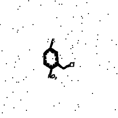 O=[N+]([O-])c1ccc(F)cc1CCl